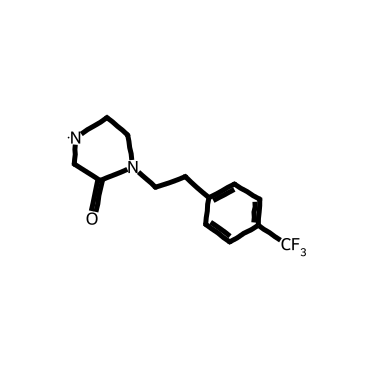 O=C1C[N]CCN1CCc1ccc(C(F)(F)F)cc1